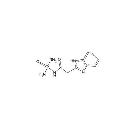 NP(N)(=O)NC(=O)Cc1nc2ccccc2[nH]1